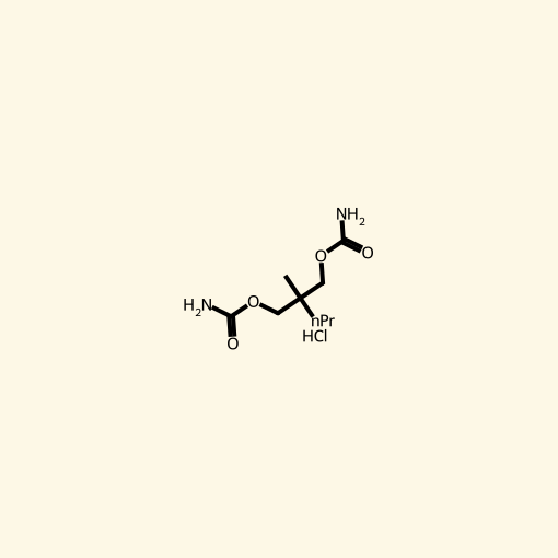 CCCC(C)(COC(N)=O)COC(N)=O.Cl